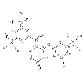 O=C1CCN(C(=O)c2cc(C(F)(F)F)cc(C(F)(F)F)c2)C(Cc2cc(F)cc(C(F)(F)F)c2)C1